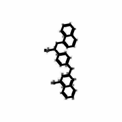 CN(Cc1cccc2ccccc12)c1ccc(Oc2nc(O)c3ccncc3n2)cc1